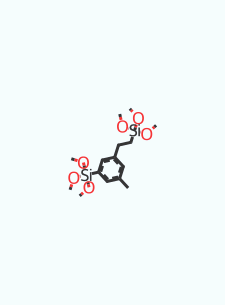 CO[Si](CCc1cc(C)cc([Si](OC)(OC)OC)c1)(OC)OC